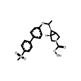 CC(Oc1ccc(-c2ccc(S(C)(=O)=O)cc2)cc1)[C@H]1C2CN(C(=O)OC(C)(C)C)C[C@@H]21